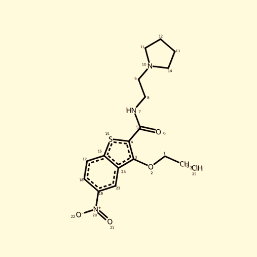 CCOc1c(C(=O)NCCN2CCCC2)sc2ccc([N+](=O)[O-])cc12.Cl